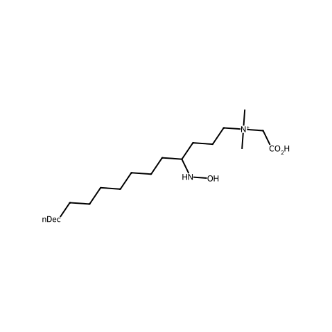 CCCCCCCCCCCCCCCCCC(CCC[N+](C)(C)CC(=O)O)NO